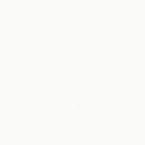 CCCC(=S)SCCC[Si](C)(OCC(C)CO)OCC(C)CO[Si]1(CCCS)OCC(C)CO1